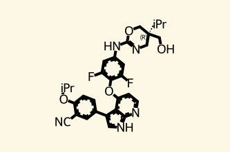 CC(C)Oc1ccc(-c2c[nH]c3nccc(Oc4c(F)cc(NC5=NC[C@@](CO)(C(C)C)CO5)cc4F)c23)cc1C#N